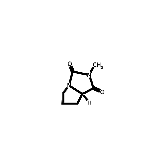 CN1C(=O)[C@@H]2CCCN2C1=O